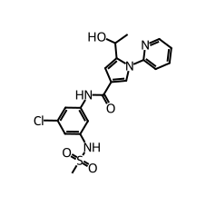 CC(O)c1cc(C(=O)Nc2cc(Cl)cc(NS(C)(=O)=O)c2)cn1-c1ccccn1